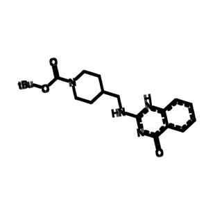 CC(C)(C)OC(=O)N1CCC(CNc2nc(=O)c3ccccc3[nH]2)CC1